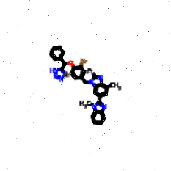 CCCc1nc2c(C)cc(-c3nc4ccccc4n3C)cc2n1Cc1cc(Br)c(OC(c2ccccc2)c2nnn[nH]2)c(Br)c1